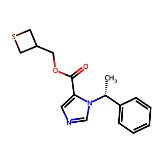 C[C@H](c1ccccc1)n1cncc1C(=O)OCC1CSC1